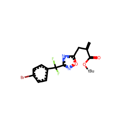 C=C(Cc1nc(C(F)(F)c2ccc(Br)cc2)no1)C(=O)OC(C)(C)C